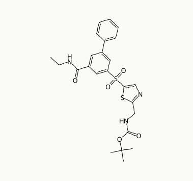 CCNC(=O)c1cc(-c2ccccc2)cc(S(=O)(=O)c2cnc(CNC(=O)OC(C)(C)C)s2)c1